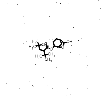 CC(C)(C)CC(C(=O)OC1CCC2CC1OC2O)C(C)(C)C